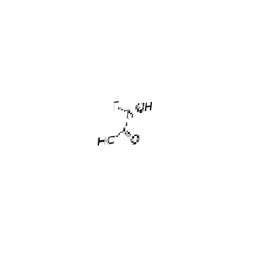 O=C(O)[N+](O)F